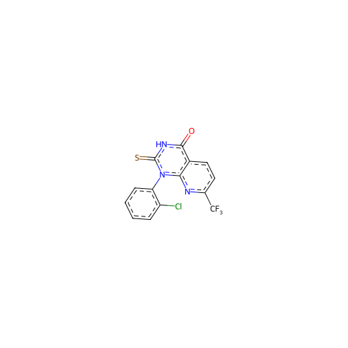 O=c1[nH]c(=S)n(-c2ccccc2Cl)c2nc(C(F)(F)F)ccc12